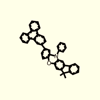 CC1(C)c2ccccc2-c2cc3c(cc21)Oc1ccc(-c2ccc4c5ccccc5c5ccccc5c4c2)cc1N3c1ccccc1